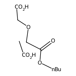 CC(=O)O.CCCCOC(=O)COCC(=O)O